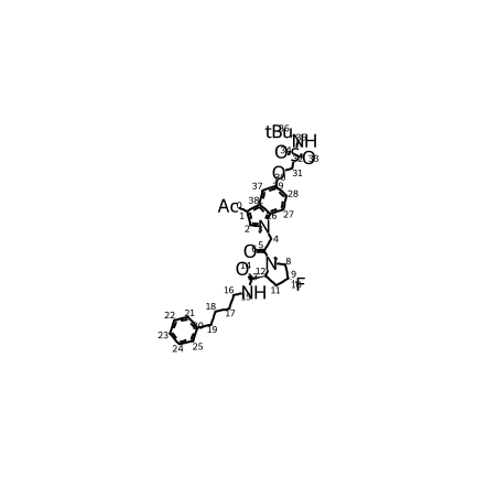 CC(=O)c1cn(CC(=O)N2C[C@H](F)C[C@H]2C(=O)NCCCCc2ccccc2)c2ccc(OCS(=O)(=O)NC(C)(C)C)cc12